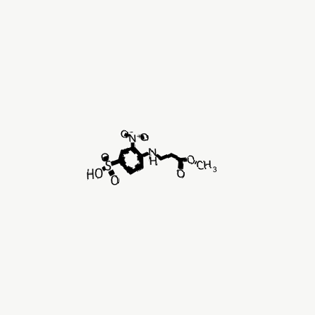 COC(=O)CCNc1ccc(S(=O)(=O)O)cc1[N+](=O)[O-]